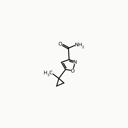 CC1(c2cc(C(N)=O)no2)CC1